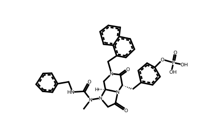 CN(C(=O)NCc1ccccc1)N1CC(=O)N2[C@@H](Cc3ccc(OP(=O)(O)O)cc3)C(=O)N(Cc3cccc4ccccc34)C[C@@H]21